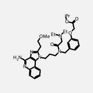 CCN(CC)CC(=O)N(CCCn1c(CCOC)nc2c(N)nc3ccccc3c21)Cc1cccc(OCC(=O)OC(C)C)c1